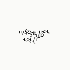 CNc1cccc2c1cc(C#CCNc1ccc(S(C)(=O)=O)cc1OCCN(C)C)n2CC(F)(F)F